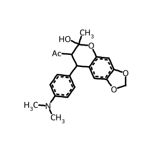 CC(=O)C1C(c2ccc(N(C)C)cc2)c2cc3c(cc2OC1(C)O)OCO3